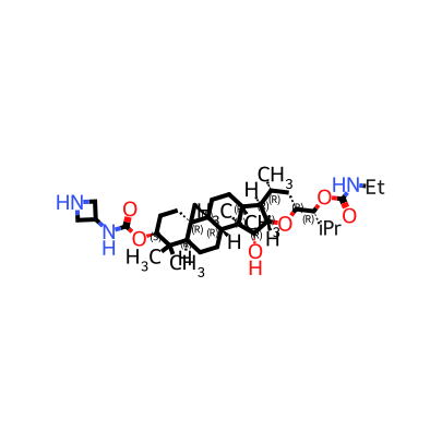 CCNC(=O)O[C@H](C(C)C)[C@H]1C[C@@H](C)[C@H]2[C@H](O1)[C@H](O)[C@@]1(C)[C@@H]3CC[C@H]4C(C)(C)[C@@H](OC(=O)NC5CNC5)CC[C@@]45C[C@@]35CC[C@]21C